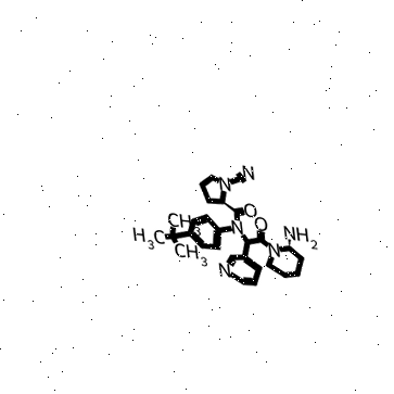 CC(C)(C)c1ccc(N(C(=O)[C@H]2CCCN2C#N)C(C(=O)N2CCCC[C@H]2N)c2cccnc2)cc1